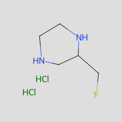 Cl.Cl.FCC1CNCCN1